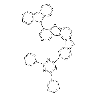 c1ccc(-c2nc(-c3ccccc3)nc(-c3ccc4sc5ccc6oc7c(-n8c9ccccc9c9ccccc98)cccc7c6c5c4c3)n2)cc1